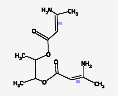 C/C(N)=C/C(=O)OC(C)C(C)OC(=O)/C=C(/C)N